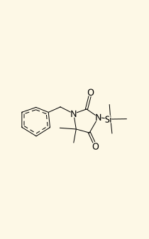 CC1(C)C(=O)N([Si](C)(C)C)C(=O)N1Cc1ccccc1